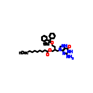 CCCCCCCCCCCCCCCCCC(=O)OCC(CCO[Si](c1ccccc1)(c1ccccc1)C(C)(C)C)CN1CNc2c1nc(N)[nH]c2=O